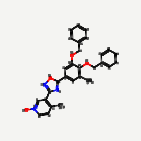 O=[N+]([O-])c1cc(-c2nc(-c3c[n+]([O-])ccc3C(F)(F)F)no2)cc(OCc2ccccc2)c1OCc1ccccc1